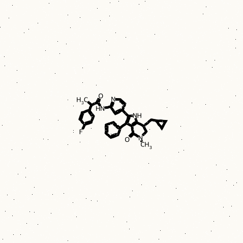 CC(C(=O)Nc1cc(-c2[nH]c3c(c2-c2ccccc2)C(=O)N(C)CC3CC2CC2)ccn1)c1ccc(F)cc1